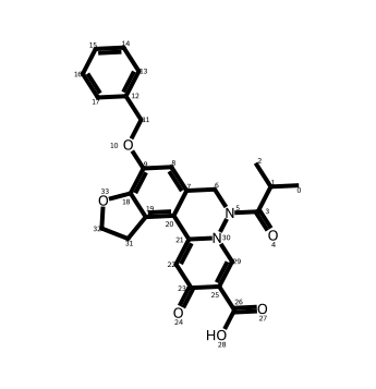 CC(C)C(=O)N1Cc2cc(OCc3ccccc3)c3c(c2-c2cc(=O)c(C(=O)O)cn21)CCO3